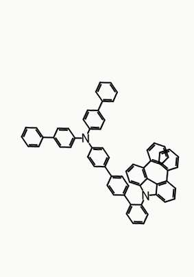 c1ccc(-c2ccc(N(c3ccc(-c4ccccc4)cc3)c3ccc(-c4ccc(-c5ccccc5-n5c6cccc(-c7ccccc7)c6c6c(-c7ccccc7)cccc65)cc4)cc3)cc2)cc1